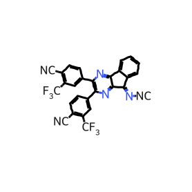 [C-]#[N+]/N=C1\c2ccccc2-c2nc(-c3ccc(C#N)c(C(F)(F)F)c3)c(-c3ccc(C#N)c(C(F)(F)F)c3)nc21